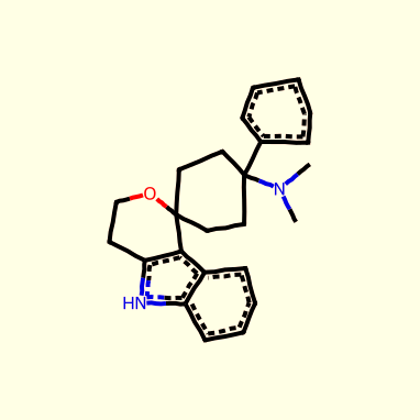 CN(C)C1(c2ccccc2)CCC2(CC1)OCCc1[nH]c3ccccc3c12